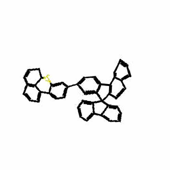 C1=Cc2cccc3c2C(C1)Sc1cc(-c2ccc4c(c2)C2(c5ccccc5-c5ccccc52)c2ccc5ccccc5c2-4)ccc1-3